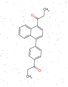 CCC(=O)c1ccc(-c2ccc(C(=O)CC)c3ccccc23)cc1